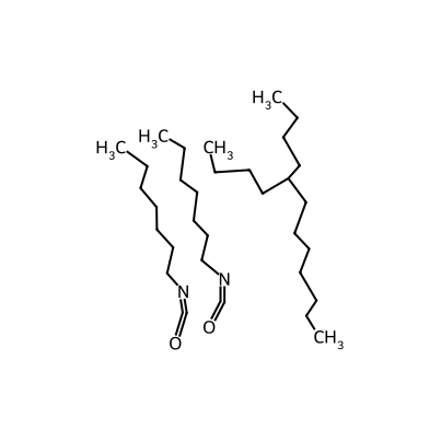 CCCCCCCC(CCCC)CCCC.CCCCCCCN=C=O.CCCCCCCN=C=O